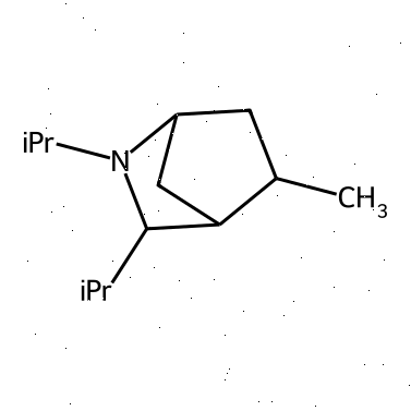 CC(C)C1C2CC(CC2C)N1C(C)C